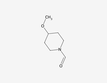 COC1CCN(C=O)CC1